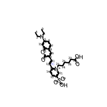 CCN(CC)c1ccc2cc(/C=C/c3ccc(S(=O)(=O)O)c[n+]3CCCCCC(=O)O)c(=O)oc2c1